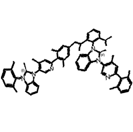 Cc1cc(-c2c(C)cc(CC(C)c3cccc(C(C)C)c3N3c4ccccc4N(c4cnc(-c5c(C)cccc5C)cc4C)[C@@H]3C)cc2C)ncc1N1c2ccccc2N(c2c(C)cccc2C)[C@H]1C